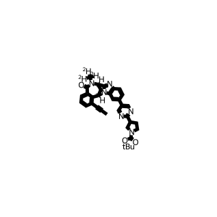 [2H]C([2H])([2H])N1C(=O)c2cccc(C#CC)c2[C@H]2C[C@@H]1c1nc3ccc(-c4cnc(C5CCN(C(=O)OC(C)(C)C)C5)nc4)cc3n12